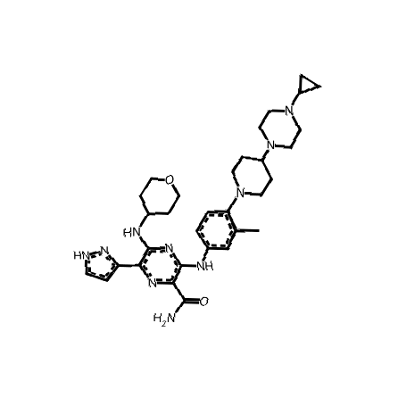 Cc1cc(Nc2nc(NC3CCOCC3)c(-c3cc[nH]n3)nc2C(N)=O)ccc1N1CCC(N2CCN(C3CC3)CC2)CC1